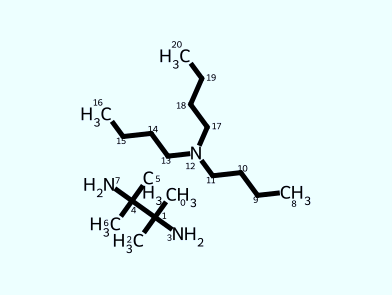 CC(C)(N)C(C)(C)N.CCCCN(CCCC)CCCC